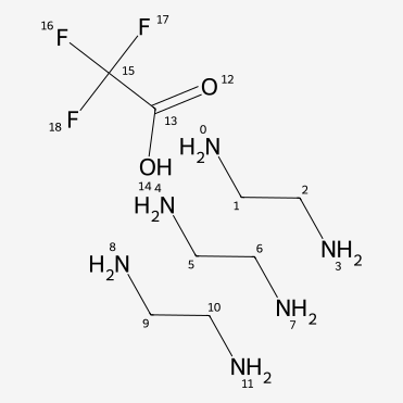 NCCN.NCCN.NCCN.O=C(O)C(F)(F)F